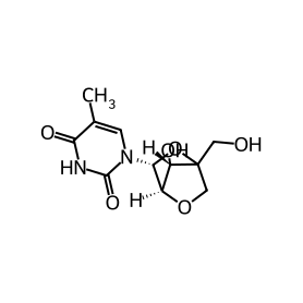 Cc1cn([C@@H]2OC3(CO)CO[C@@H]2[C@@H]3O)c(=O)[nH]c1=O